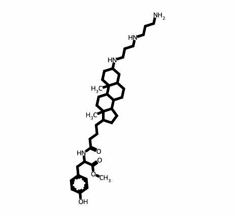 COC(=O)C(Cc1ccc(O)cc1)NC(=O)CCCC1CCC2C3CCC4CC(NCCCNCCCN)CCC4(C)C3CCC12C